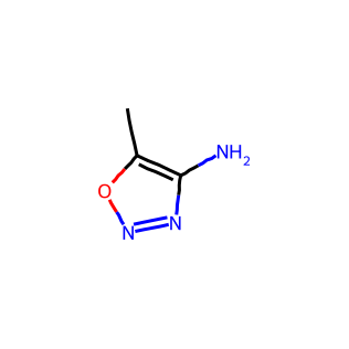 Cc1onnc1N